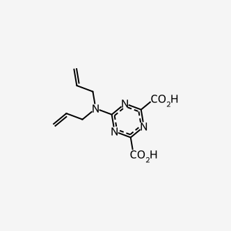 C=CCN(CC=C)c1nc(C(=O)O)nc(C(=O)O)n1